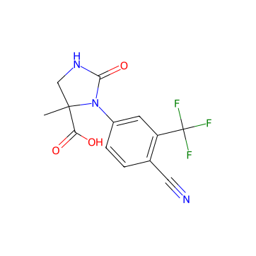 CC1(C(=O)O)CNC(=O)N1c1ccc(C#N)c(C(F)(F)F)c1